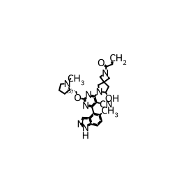 C=CC(=O)N1CC2(CC(O)N(c3nc(OC[C@@H]4CCCN4C)nc(-c4c(C)ccc5[nH]ncc45)c3C#N)C2)C1